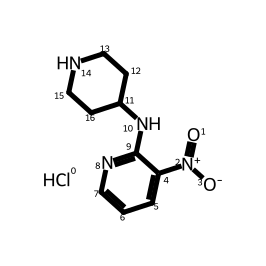 Cl.O=[N+]([O-])c1cccnc1NC1CCNCC1